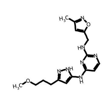 COCCCc1cc(Nc2ccnc(NCc3cc(C)no3)n2)[nH]n1